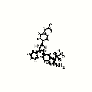 CC(C)CN1CCC(c2nc(-c3ccc4nc(N)n(S(=O)(=O)C(C)C)c4c3)c(-c3ccccc3)[nH]2)CC1